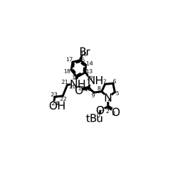 CC(C)(C)OC(=O)N1CCCC1CC(=O)Nc1cc(Br)ccc1NCCCO